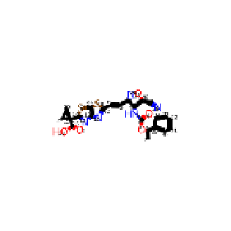 CC(OC(=O)Nc1c(C#Cc2nc3nc(C4(C(=O)O)CC4)sc3s2)noc1C#N)c1ccccc1